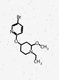 CCN1CCC(Oc2ccc(Br)cn2)CC1OC